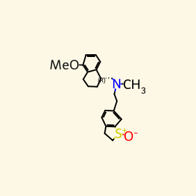 COc1cccc2c1CCC[C@H]2CN(C)CCc1ccc2c(c1)[S+]([O-])CC2